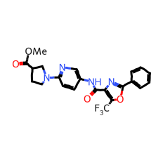 COC(=O)C1CCN(c2ccc(NC(=O)c3nc(-c4ccccc4)oc3C(F)(F)F)cn2)C1